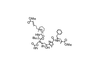 CCCC(=O)OCN(C(=O)[C@@H](NC(=O)[C@H]1CCCC[PH]1(C)CCSSC(=O)OC)C(C)CC)[C@H](C[C@@H](O)c1nc(C(=O)N[C@@H](Cc2ccccc2)C[C@H](C)C(=O)OC)cs1)C(C)C